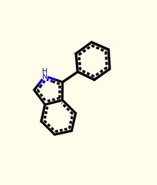 [c]1ccccc1-c1[nH]cc2ccccc12